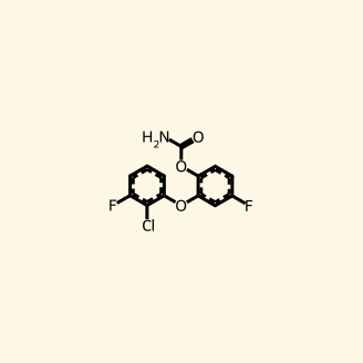 NC(=O)Oc1ccc(F)cc1Oc1cccc(F)c1Cl